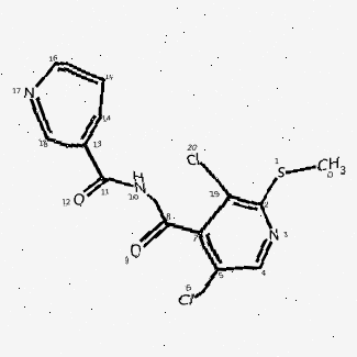 CSc1ncc(Cl)c(C(=O)NC(=O)c2cccnc2)c1Cl